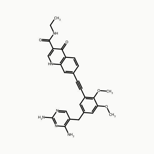 CCNC(=O)c1c[nH]c2cc(C#Cc3cc(Cc4cnc(N)nc4N)cc(OC)c3OC)ccc2c1=O